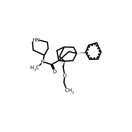 CCOC[C@]12CC3CC1(C(=O)N(C)C1CCNCC1)C[C@@](c1ccccc1)(C3)C2